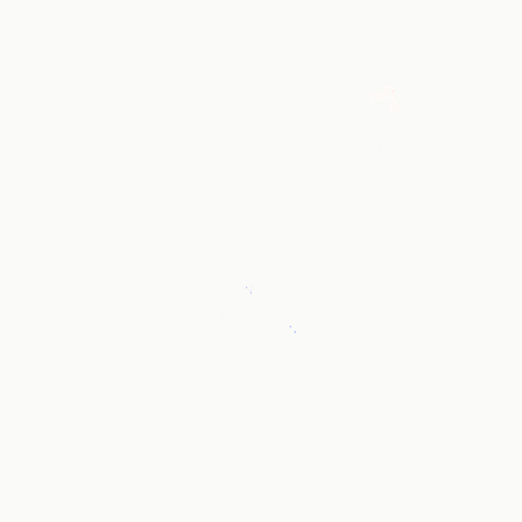 c1ccc(-c2ccc(-c3cc(-c4ccccc4)nc(-c4ccc(-c5cccc6oc7cc8ccccc8cc7c56)c5ccccc45)n3)cc2)cc1